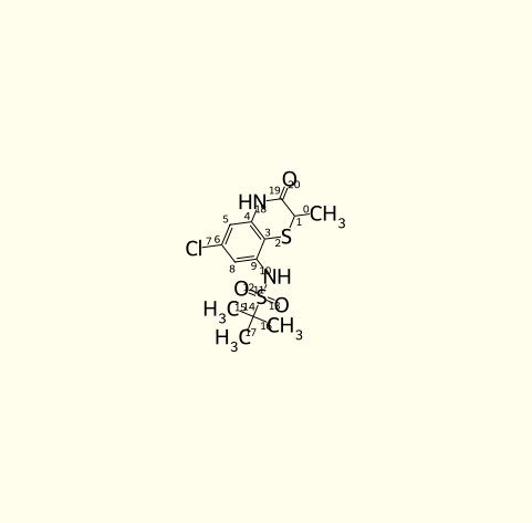 CC1Sc2c(cc(Cl)cc2NS(=O)(=O)C(C)(C)C)NC1=O